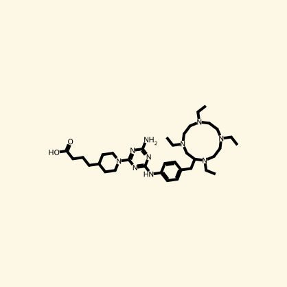 CCN1CCN(CC)CCN(CC)C(Cc2ccc(Nc3nc(N)nc(N4CCC(CCCC(=O)O)CC4)n3)cc2)CN(CC)CC1